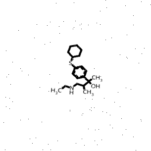 CCNCC(C)C(C)(O)c1ccc(SC2CCCCC2)cc1